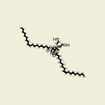 CCCCCCCC/C=C\CCCCCCCC(=O)OC(C)(CN)C(C)(OC(=O)CCCCCCC/C=C\CCCCCCCC)C(C)(C)N(CCO)CCO